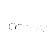 O=S(=O)(O)NCCCCNc1ccccn1